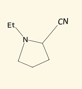 CCN1CCCC1C#N